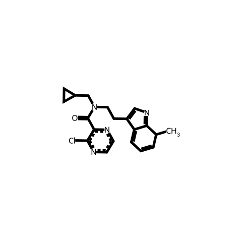 CC1C=CC=C2C(CCN(CC3CC3)C(=O)c3nccnc3Cl)=CN=C21